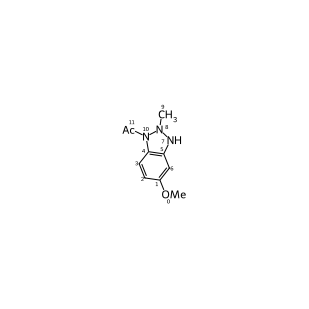 COc1ccc2c(c1)NN(C)N2C(C)=O